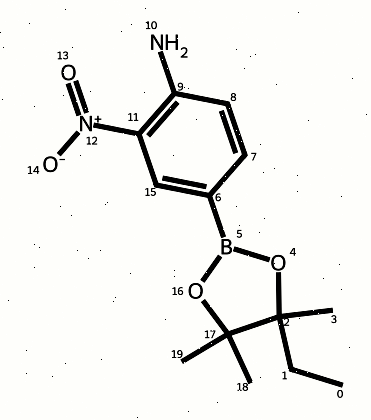 CCC1(C)OB(c2ccc(N)c([N+](=O)[O-])c2)OC1(C)C